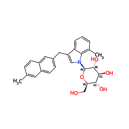 Cc1ccc2cc(Cc3cn([C@@H]4O[C@H](CO)[C@@H](O)[C@H](O)[C@H]4O)c4c(C)cccc34)ccc2c1